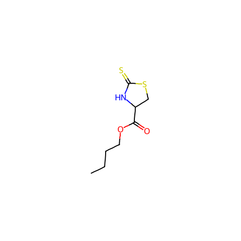 CCCCOC(=O)C1CSC(=S)N1